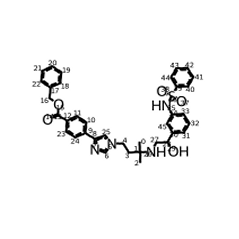 CC(C)(CCn1cnc(-c2ccc(C(=O)OCc3ccccc3)cc2)c1)NCC(O)c1cccc(NS(=O)(=O)c2ccccc2)c1